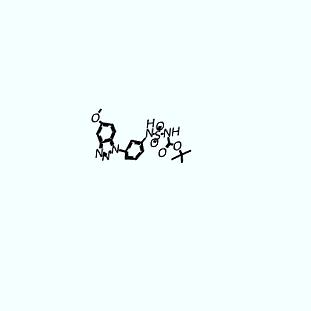 COc1ccc2c(c1)nnn2-c1cccc(NS(=O)(=O)NC(=O)OC(C)(C)C)c1